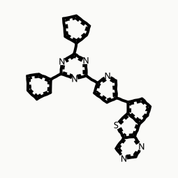 c1ccc(-c2nc(-c3ccccc3)nc(-c3ccc(-c4cccc5c4sc4cncnc45)cn3)n2)cc1